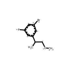 [CH2]C(COC)c1cc(F)cc(Br)c1